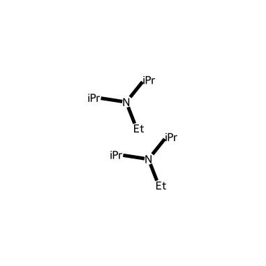 CCN(C(C)C)C(C)C.CCN(C(C)C)C(C)C